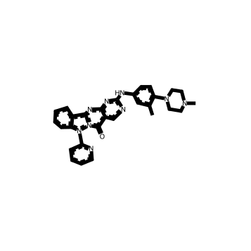 Cc1cc(Nc2ncc3c(=O)n4c(nc3n2)c2ccccc2n4-c2ccccn2)ccc1N1CCN(C)CC1